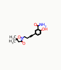 CC1(C)CC(=O)N(CCC#Cc2ccc(O)c(C(N)=O)c2)O1